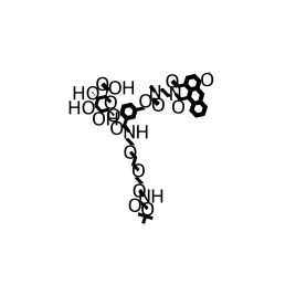 COc1ccc2c3c(c4ccccc4cc13)C(=O)N(CCN(C)C(=O)OCc1ccc(O[C@@H]3O[C@H](C(=O)O)[C@@H](O)C(O)[C@H]3O)c(C(=O)NCCOCCOCCONC(=O)OC(C)(C)C)c1)C2=O